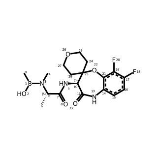 CB(O)N(C)[C@@H](C)C(=O)N[C@@H]1C(=O)Nc2ccc(F)c(F)c2OC12CCOCC2